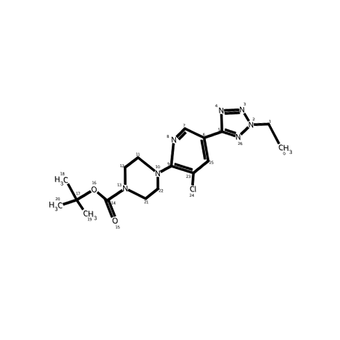 CCn1nnc(-c2cnc(N3CCN(C(=O)OC(C)(C)C)CC3)c(Cl)c2)n1